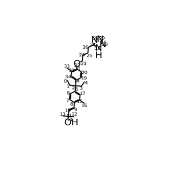 CCC(CC)(c1ccc(/C=C/C(C)(C)O)c(C)c1)c1ccc(OCCCCc2nnn[nH]2)c(C)c1